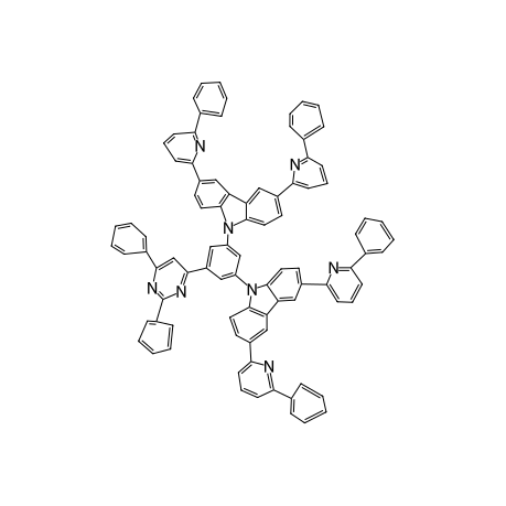 c1ccc(-c2cccc(-c3ccc4c(c3)c3cc(-c5cccc(-c6ccccc6)n5)ccc3n4-c3cc(-c4cc(-c5ccccc5)nc(-c5ccccc5)n4)cc(-n4c5ccc(-c6cccc(-c7ccccc7)n6)cc5c5cc(-c6cccc(-c7ccccc7)n6)ccc54)c3)n2)cc1